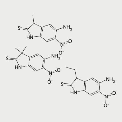 CC1(C)C(=S)Nc2cc([N+](=O)[O-])c(N)cc21.CC1C(=S)Nc2cc([N+](=O)[O-])c(N)cc21.CCC1C(=S)Nc2cc([N+](=O)[O-])c(N)cc21